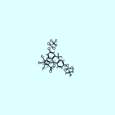 CC1(C)c2cc(OS(=O)(=O)C(F)(F)F)ccc2C2(OC(=O)c3c(F)c(F)c(F)c(F)c32)c2ccc(OS(=O)(=O)C(F)(F)F)cc21